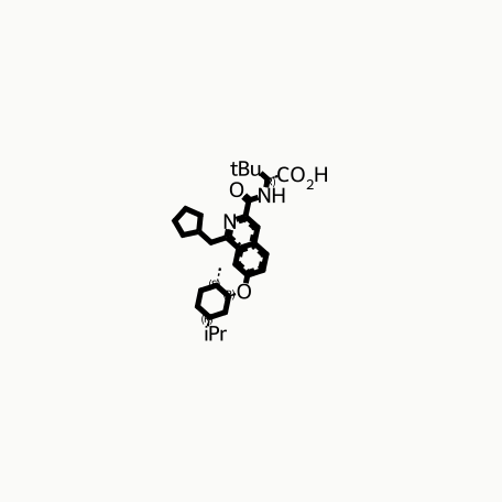 CC(C)[C@@H]1CC[C@H](C)[C@H](Oc2ccc3cc(C(=O)N[C@@H](C(=O)O)C(C)(C)C)nc(CC4CCCC4)c3c2)C1